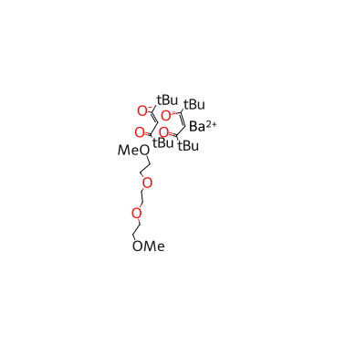 CC(C)(C)C(=O)C=C([O-])C(C)(C)C.CC(C)(C)C(=O)C=C([O-])C(C)(C)C.COCCOCCOCCOC.[Ba+2]